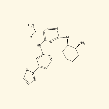 NC(=O)c1cnc(N[C@@H]2CCCC[C@@H]2N)nc1Nc1cccc(-c2ncco2)c1